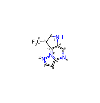 FC(F)(F)C1CNc2cnc3ccnn3c21